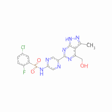 Cc1n[nH]c2nc(-c3cnc(NS(=O)(=O)c4cc(Cl)ccc4F)cn3)nc(CO)c12